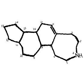 C1=C2CCNCCC2C2CCC3CCCC3C2C1